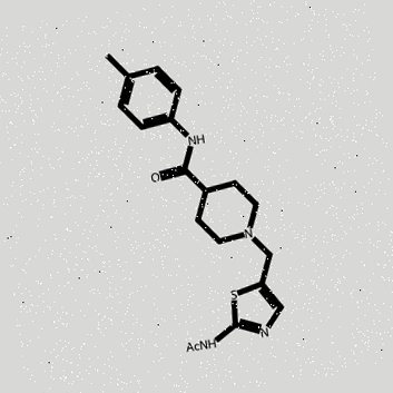 CC(=O)Nc1ncc(CN2CCC(C(=O)Nc3ccc(C)cc3)CC2)s1